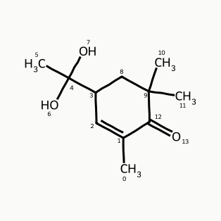 CC1=CC(C(C)(O)O)CC(C)(C)C1=O